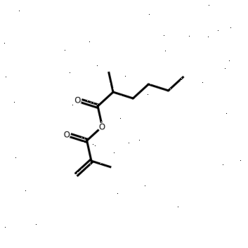 C=C(C)C(=O)OC(=O)C(C)CCCC